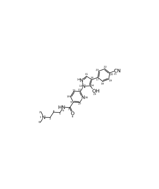 CN(C)CCCNC(=O)c1ccc(-n2ncc(-c3ccc(C#N)cc3)c2O)nc1